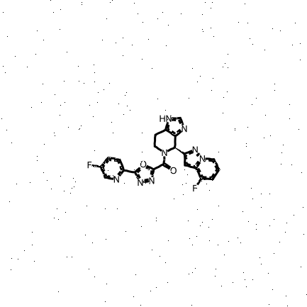 O=C(c1nnc(-c2ccc(F)cn2)o1)N1CCc2[nH]cnc2[C@H]1c1cc2c(F)cccn2n1